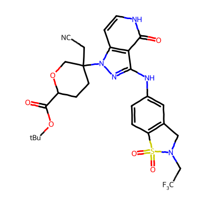 CC(C)(C)OC(=O)C1CCC(CC#N)(n2nc(Nc3ccc4c(c3)CN(CC(F)(F)F)S4(=O)=O)c3c(=O)[nH]ccc32)CO1